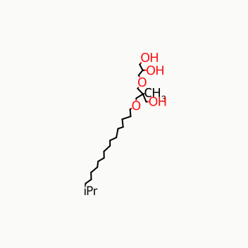 CC(C)CCCCCCCCCCCCCCCOCC(C)(CO)COCC(O)CO